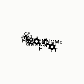 COc1cc(F)ccc1-c1ncnc(Nc2cccc(CS(=O)(=O)NOC(=O)C(F)(F)F)c2)n1